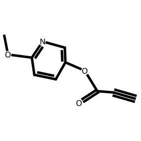 C#CC(=O)Oc1ccc(OC)nc1